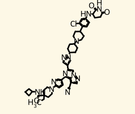 CCC1(C(=O)NC2CCC2)CCN(c2ccc(-c3nc(-c4cnn(C5CCC(N6CCC(c7ccc(N[C@@H]8CCC(=O)NC8=O)cc7Cl)CC6)CC5)c4)cn4ncc(C#N)c34)cn2)CC1